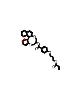 C=CC(=O)OCCCOc1ccc(C(=O)OC2COc3ccc4ccccc4c3-c3c(ccc4ccccc34)OC2)cc1